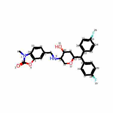 Cn1c(=O)oc2cc(CNC3COC(C(c4ccc(F)cc4)c4ccc(F)cc4)CC3O)ccc21